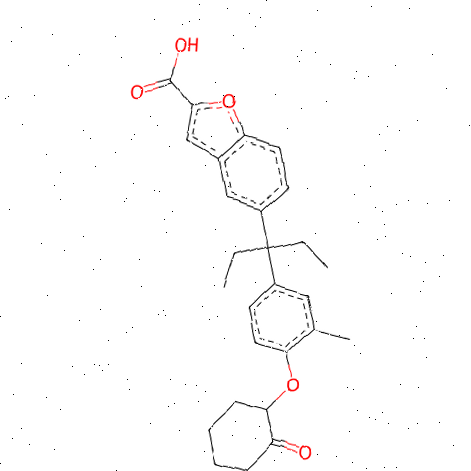 CCC(CC)(c1ccc(OC2CCCCC2=O)c(C)c1)c1ccc2oc(C(=O)O)cc2c1